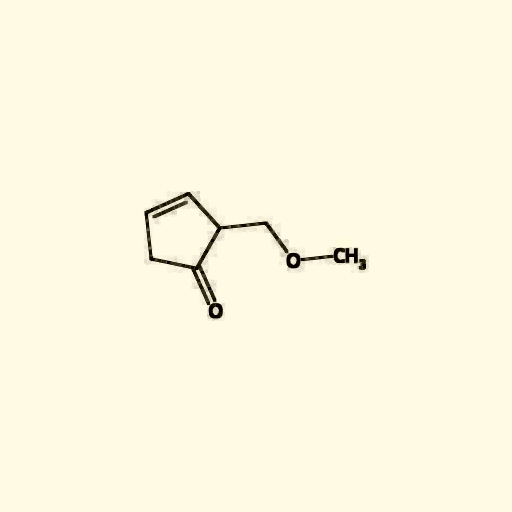 COCC1C=CCC1=O